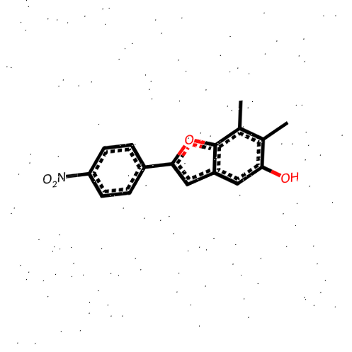 Cc1c(O)cc2cc(-c3ccc([N+](=O)[O-])cc3)oc2c1C